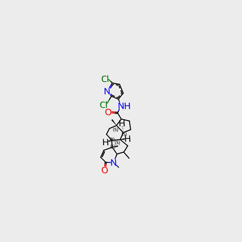 CC1C[C@@H]2[C@@H](CC[C@]3(C)C(C(=O)Nc4ccc(Cl)nc4Cl)CC[C@@H]23)[C@@]2(C)C=CC(=O)N(C)C12